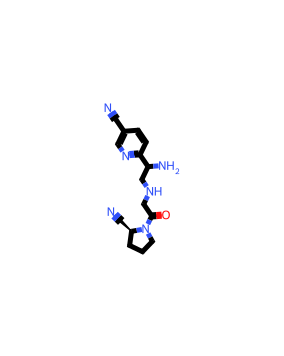 N#Cc1ccc(C(N)CNCC(=O)N2CCC[C@H]2C#N)nc1